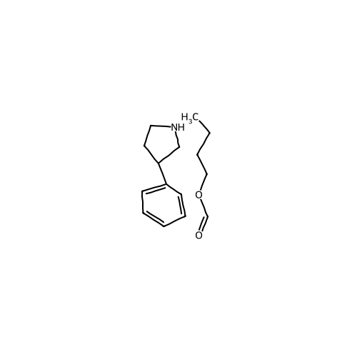 CCCCOC=O.c1ccc(C2CCNC2)cc1